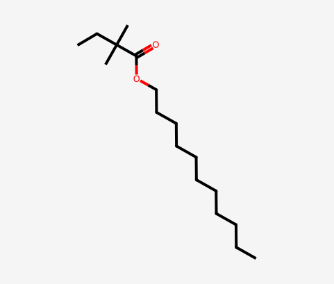 CCCCCCCCCCCOC(=O)C(C)(C)CC